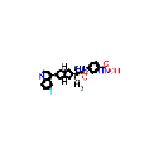 CC(C)(C(=O)Nc1ccc(C(=O)NO)cc1)[C@H]1C[C@H]2C[C@@H](c3ccnc4ccc(F)cc34)C[C@H]2C1